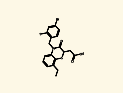 CCc1cccc2c1SC(CC(=O)O)C(=O)N2Cc1ccc(Br)cc1F